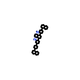 CN1c2cc(-c3ccc(-c4cccc5ccccc45)cc3)ccc2-c2ccc3c4c(ccc1c24)N(C)c1cc(-c2cccc4ccccc24)ccc1-3